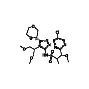 COCC(COC)n1c(NS(=O)(=O)C(C)C(OC)c2ncc(Cl)cn2)nnc1[C@H]1COCCO1